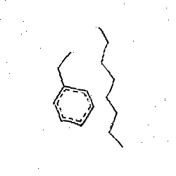 [CH2]CCCCCCC.[CH2]Cc1ccccc1